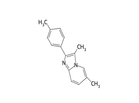 Cc1ccc(-c2nc3ccc(C)cn3c2C)cc1